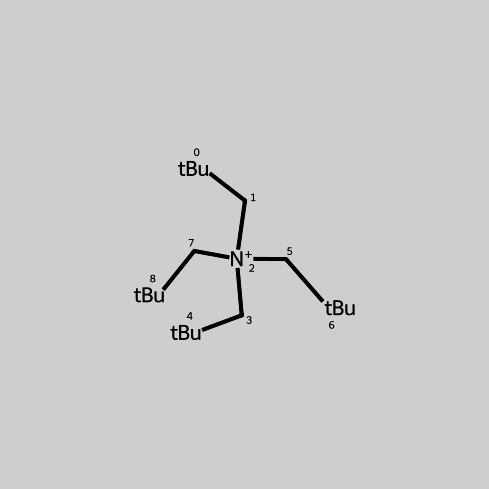 CC(C)(C)C[N+](CC(C)(C)C)(CC(C)(C)C)CC(C)(C)C